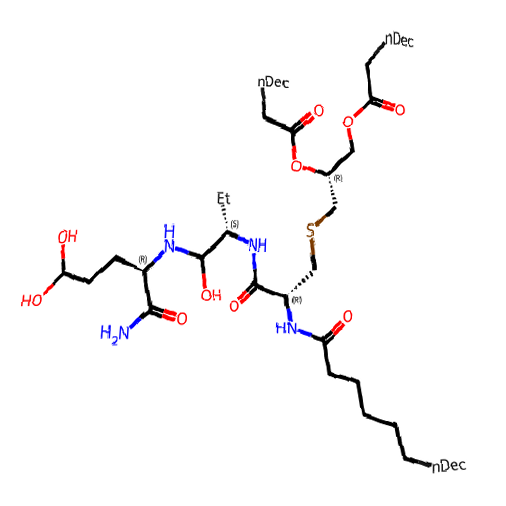 CCCCCCCCCCCCCCCC(=O)N[C@@H](CSC[C@@H](COC(=O)CCCCCCCCCCC)OC(=O)CCCCCCCCCCC)C(=O)N[C@@H](CC)C(O)N[C@H](CCC(O)O)C(N)=O